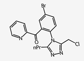 CCCc1nnc(CCl)n1-c1ccc(Br)cc1C(=O)c1ccccn1